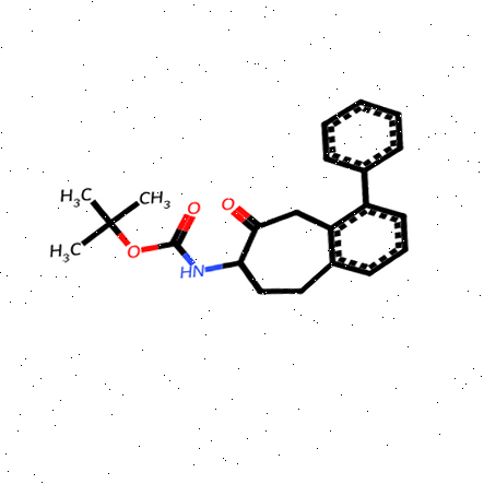 CC(C)(C)OC(=O)NC1CCc2cccc(-c3ccccc3)c2CC1=O